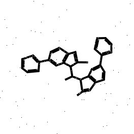 CC1=Cc2ccc(-c3ccccc3)cc2C1C(C)C1C(C)=Cc2ccc(-c3ccccc3)cc21